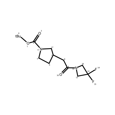 CC(C)(C)OC(=O)N1CCC(CC(=O)N2CC(F)(F)C2)C1